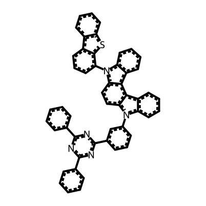 c1ccc(-c2nc(-c3ccccc3)nc(-c3cccc(-n4c5ccccc5c5c6c7ccccc7n(-c7cccc8c7sc7ccccc78)c6ccc54)c3)n2)cc1